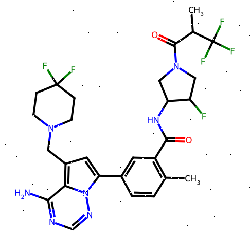 Cc1ccc(-c2cc(CN3CCC(F)(F)CC3)c3c(N)ncnn23)cc1C(=O)NC1CN(C(=O)C(C)C(F)(F)F)CC1F